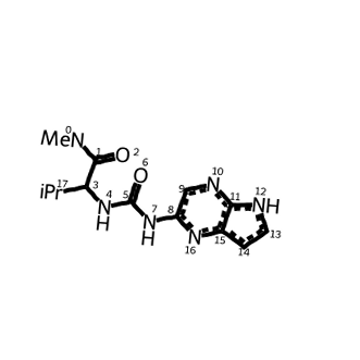 CNC(=O)C(NC(=O)Nc1cnc2[nH]ccc2n1)C(C)C